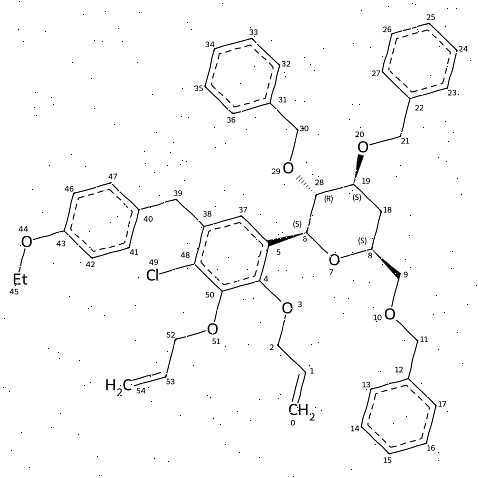 C=CCOc1c([C@@H]2O[C@H](COCc3ccccc3)C[C@H](OCc3ccccc3)[C@H]2OCc2ccccc2)cc(Cc2ccc(OCC)cc2)c(Cl)c1OCC=C